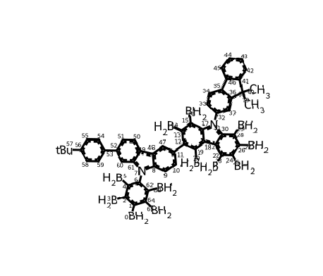 Bc1c(B)c(B)c(-n2c3ccc(-c4c(B)c(B)c5c(c4B)c4c(B)c(B)c(B)c(B)c4n5-c4ccc5c(c4)C(C)(C)c4ccccc4-5)cc3c3ccc(-c4ccc(C(C)(C)C)cc4)cc32)c(B)c1B